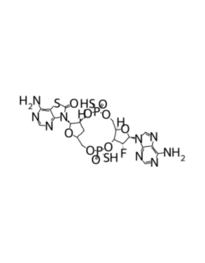 Nc1ncnc2c1ncn2[C@@H]1O[C@@H]2COP(=O)(S)O[C@@H]3CC(COP(=O)(S)OC2[C@H]1F)O[C@H]3n1c(=O)sc2c(N)ncnc21